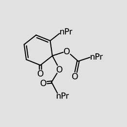 CCCC(=O)OC1(OC(=O)CCC)C(=O)C=CC=C1CCC